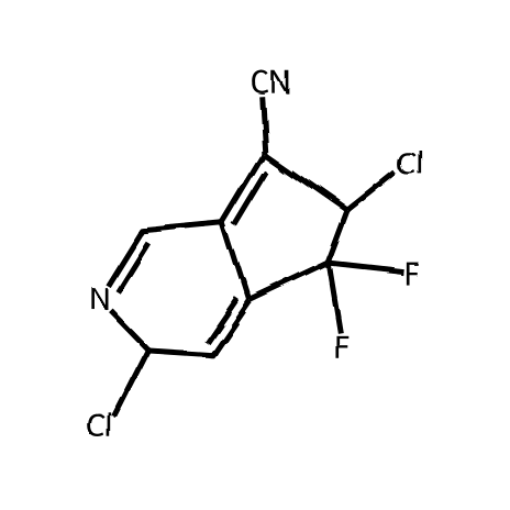 N#CC1=C2C=NC(Cl)C=C2C(F)(F)C1Cl